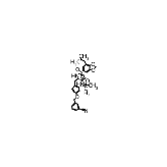 CC(C)Cc1cc(S(=O)(=O)NC(Cc2ccc(OCc3cccc(C#N)c3)cc2)[C@H]2COC(C)(C)N2)cc2c1OCO2